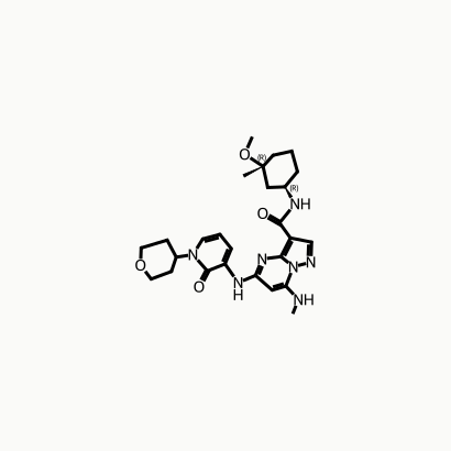 CNc1cc(Nc2cccn(C3CCOCC3)c2=O)nc2c(C(=O)N[C@@H]3CCC[C@@](C)(OC)C3)cnn12